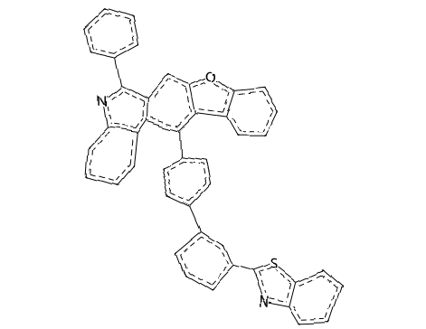 c1ccc(-c2nc3ccccc3c3c(-c4ccc(-c5cccc(-c6nc7ccccc7s6)c5)cc4)c4c(cc23)oc2ccccc24)cc1